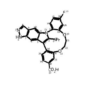 CC(C)c1c2c3cc4[nH]ncc4cc3n1-c1ccc(F)cc1OCCOc1cc(C(=O)O)ccc1-2